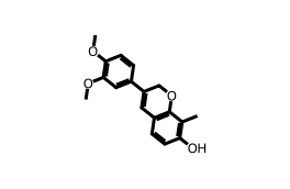 COc1ccc(C2=Cc3ccc(O)c(C)c3OC2)cc1OC